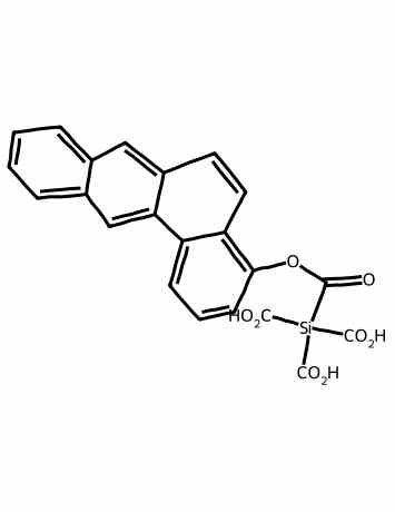 O=C(O)[Si](C(=O)O)(C(=O)O)C(=O)Oc1cccc2c1ccc1cc3ccccc3cc12